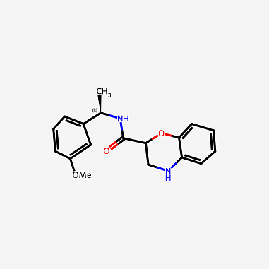 COc1cccc([C@@H](C)NC(=O)C2CNc3ccccc3O2)c1